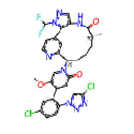 COc1cn([C@@H]2CCC[C@@H](C)C(=O)Nc3cnn(C(F)F)c3-c3ccnc2c3)c(=O)cc1-c1cc(Cl)ccc1-n1cc(Cl)nn1